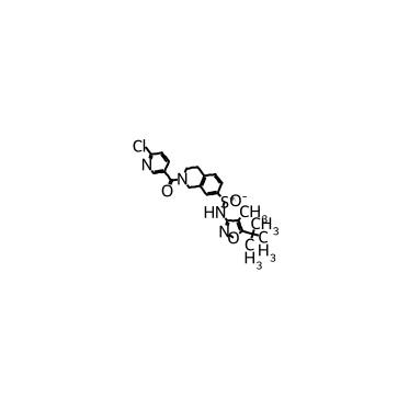 Cc1c(N[S+]([O-])c2ccc3c(c2)CN(C(=O)c2ccc(Cl)nc2)CC3)noc1C(C)(C)C